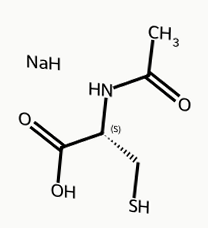 CC(=O)N[C@H](CS)C(=O)O.[NaH]